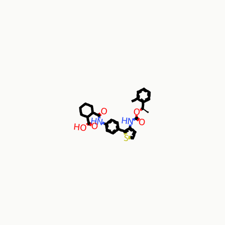 Cc1ccccc1[C@@H](C)OC(=O)Nc1ccsc1-c1ccc(NC(=O)C2CCCCC2C(=O)O)cc1